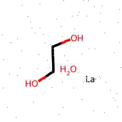 O.OCCO.[La]